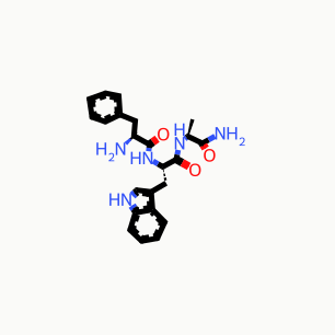 C[C@H](NC(=O)[C@H](Cc1c[nH]c2ccccc12)NC(=O)[C@@H](N)Cc1ccccc1)C(N)=O